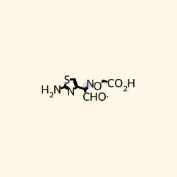 Nc1nc(/C([C]=O)=N/OCC(=O)O)cs1